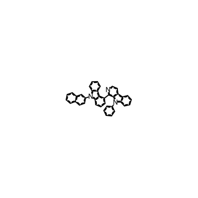 c1ccc(-n2c3ccccc3c3ccnc(-c4cccc5c4c4ccccc4n5-c4ccc5ccccc5c4)c32)cc1